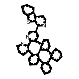 c1ccc2c(c1)sc1c(-c3cnc4c(c3)c3cccc5c3-c3c(cccc3c3cccnc34)c3ccccc3c3ccccc53)nccc12